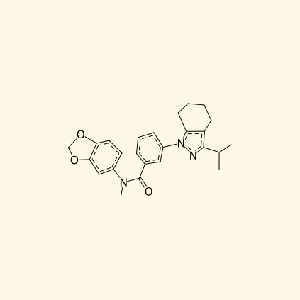 CC(C)c1nn(-c2cccc(C(=O)N(C)c3ccc4c(c3)OCO4)c2)c2c1CCCC2